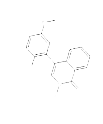 Cc1ccc(NC(=O)O)cc1-c1cn(C)c(=O)c2ccccc12